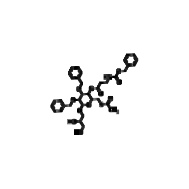 CC(=O)SCC1OC(OCC(O)CO)C(OCc2ccccc2)C(OCc2ccccc2)C1OC(=O)CCNC(=O)OCc1ccccc1